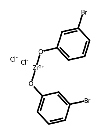 Brc1cccc([O][Zr+2][O]c2cccc(Br)c2)c1.[Cl-].[Cl-]